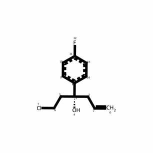 C=CC[C@@](O)(CCCl)c1ccc(F)cc1